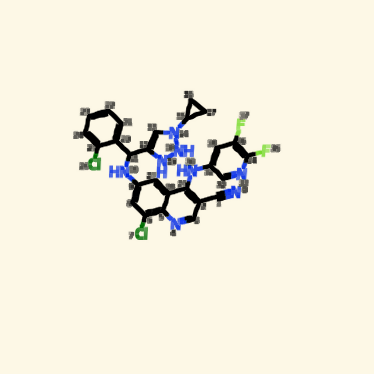 N#Cc1cnc2c(Cl)cc(NC(C3=CN(C4CC4)NN3)c3ccccc3Cl)cc2c1Nc1cnc(F)c(F)c1